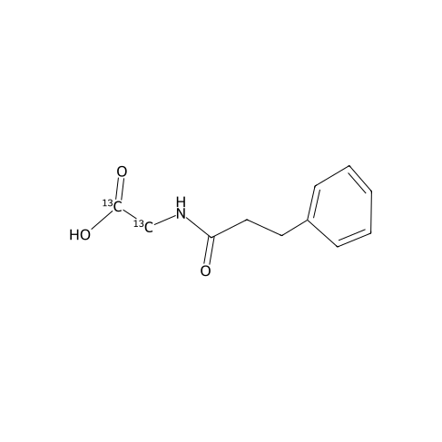 O=C(CCc1ccccc1)N[13CH2][13C](=O)O